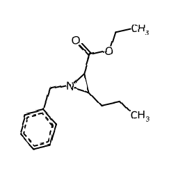 CCCC1C(C(=O)OCC)N1Cc1ccccc1